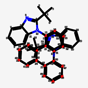 CC(C)(C)c1nc2ccccc2n1-c1ccccc1-c1ccccc1-c1ccccc1-c1ccccc1-c1ccccc1-c1ccccc1-n1c(C(C)(C)C)nc2ccccc21